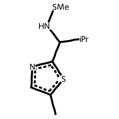 CSNC(c1ncc(C)s1)C(C)C